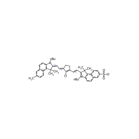 CCCCN1/C(=C/C=C2\CCC(/C=C/C3=[N+](CCCC)c4ccc5cc(S(=O)(=O)[O-])ccc5c4C3(C)C)=C2Cl)C(C)(C)c2c1ccc1cc(C)ccc21